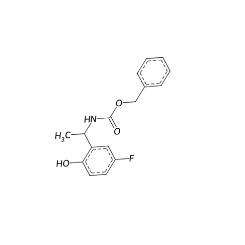 CC(NC(=O)OCc1ccccc1)c1cc(F)ccc1O